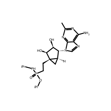 Cc1nc(N)c2ncn([C@H]3[C@H](O)[C@H](O)[C@@]4(CCP(=O)(OC(C)C)PC(C)C)C[C@H]34)c2n1